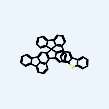 c1ccc2c(c1)-c1cccc3c4c(cc-2c13)C1(c2ccccc2-c2cccc(-c3ccc5sc6ccccc6c5c3)c21)c1ccccc1-4